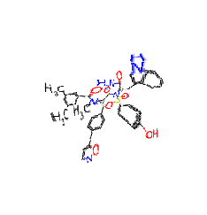 Cc1cc(C)cc(C(=O)N(C)[C@@H](Cc2ccc(-c3ccno3)cc2)C(=O)N([C@@H](Cc2c[nH]c3ccccc23)C(N)=O)S(=O)(=O)c2ccc(O)cc2)c1